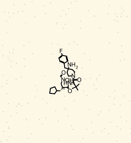 CC(C)(C)[C@H](NC(=O)[C@H](CC1CCCC1)CN(O)C=O)C(=O)N1CCC(N)(Cc2ccc(F)cc2)CC1